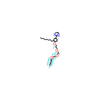 CCCCCCCCc1cc(-c2ncccn2)ccc1OCC(F)COCC(F)(F)OC(F)(F)C(F)(F)OC(F)(F)C(F)(F)C(F)(F)C(F)(F)F